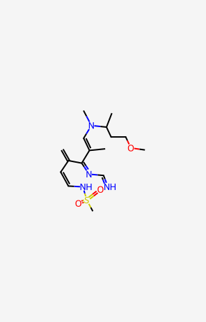 C=C(/C=C\NS(C)(=O)=O)C(=N/C=N)/C(C)=C/N(C)C(C)CCOC